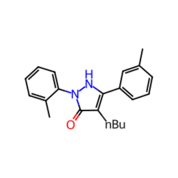 CCCCc1c(-c2cccc(C)c2)[nH]n(-c2ccccc2C)c1=O